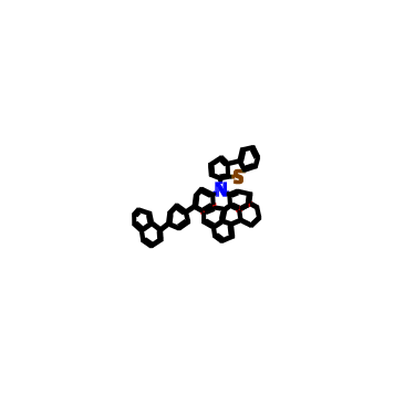 c1ccc(N(c2ccc(-c3ccc(-c4cccc5ccccc45)cc3)cc2)c2cccc3c2sc2ccccc23)c(-c2cccc3cccc(C4CCCCC4)c23)c1